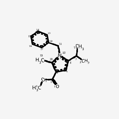 COC(=O)c1cc(C(C)C)n(Cc2ccccc2)c1C